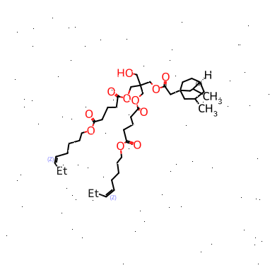 CC/C=C\CCCCOC(=O)CCCC(=O)OCC(CO)(COC(=O)CCCC(=O)OCCCC/C=C\CC)COC(=O)CC12CC[C@@H](CC(C)C1)C(C)C2